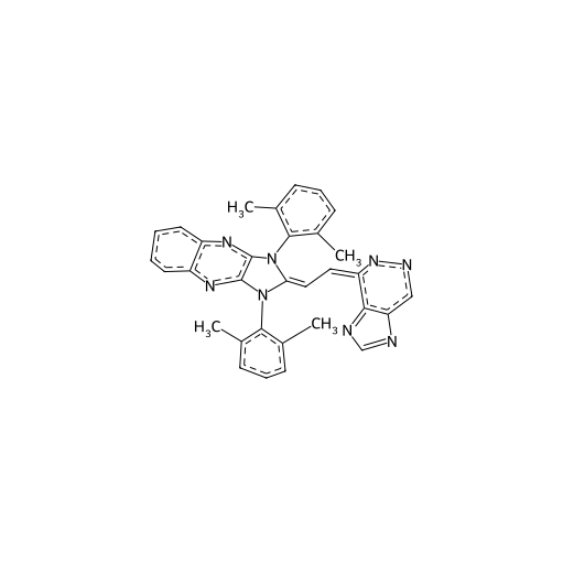 Cc1cccc(C)c1N1C(=C/C=c2/nncc3c2=NC=N3)N(c2c(C)cccc2C)c2nc3ccccc3nc21